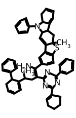 CC(C/C(=C(\N)c1ccc2c(c1)C1=CC3C(CC1(C)S2)C1=CC=CCC1N3c1ccccc1)c1nc(C2=CCCCC2)nc(-c2ccccc2)n1)C1=CC=CCC1c1ccccc1